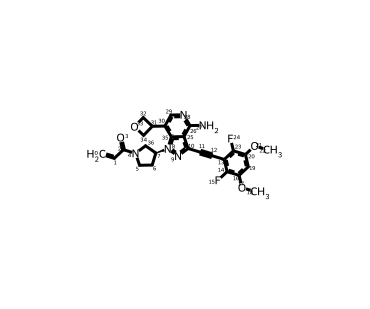 C=CC(=O)N1CC[C@H](n2nc(C#Cc3c(F)c(OC)cc(OC)c3F)c3c(N)ncc(C4COC4)c32)C1